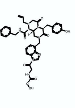 C=CCN1CC(=O)N2[C@@H](Cc3ccc(O)cc3)C(=O)N(Cc3cccc4c3ncn4C(=O)CNC(=O)OC(C)(C)C)C[C@@H]2N1C(=O)NCc1ccccc1